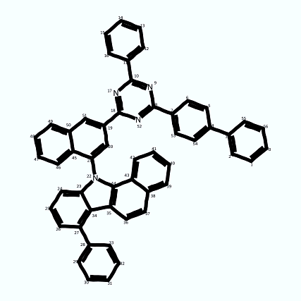 c1ccc(-c2ccc(-c3nc(-c4ccccc4)nc(-c4cc(-n5c6cccc(-c7ccccc7)c6c6ccc7ccccc7c65)c5ccccc5c4)n3)cc2)cc1